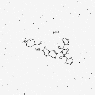 Cl.O=C(Nc1nc2ccc(N(S(=O)(=O)c3cccs3)S(=O)(=O)c3cccs3)cc2s1)C1CCNCC1